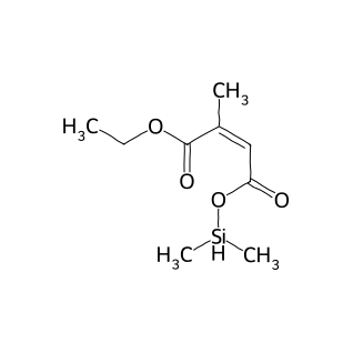 CCOC(=O)/C(C)=C\C(=O)O[SiH](C)C